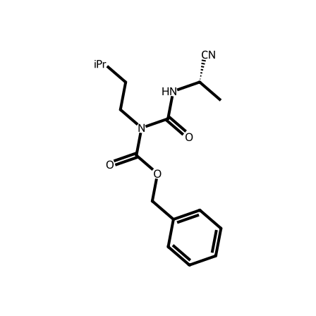 CC(C)CCN(C(=O)N[C@@H](C)C#N)C(=O)OCc1ccccc1